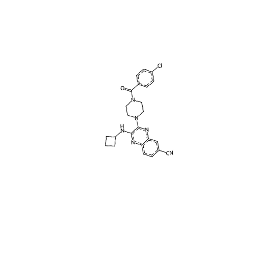 N#Cc1ccc2nc(NC3CCC3)c(N3CCN(C(=O)c4ccc(Cl)cc4)CC3)nc2c1